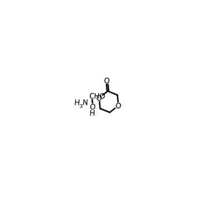 N.O=C1COCCO1.O=CO